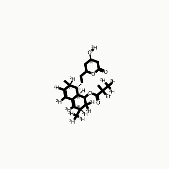 [2H]O[C@H]1CC(=O)OC(CC[C@@H]2[C@@H]3C(=C([2H])[C@]([2H])(C([2H])([2H])[2H])C([2H])([2H])C3OC(=O)C(C)(CC)C([2H])([2H])[2H])C([2H])=C([2H])[C@]2([2H])C)C1